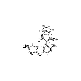 CCc1ccc(Oc2ncc(Cl)cn2)cc1C1=C(O)C2C3CCC(CC3)C2C1=O